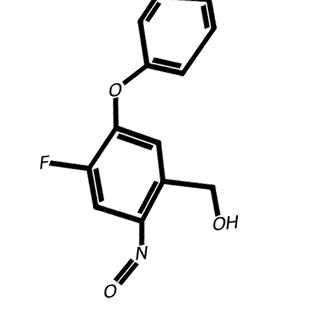 O=Nc1cc(F)c(Oc2ccccc2)cc1CO